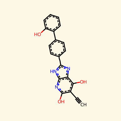 C#Cc1c(O)nc2[nH]c(-c3ccc(-c4ccccc4O)cc3)nc2c1O